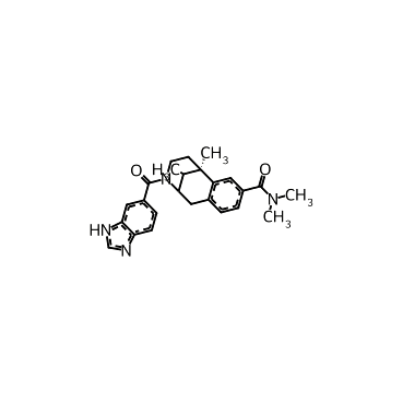 CC1C2Cc3ccc(C(=O)N(C)C)cc3[C@]1(C)CCN2C(=O)c1ccc2nc[nH]c2c1